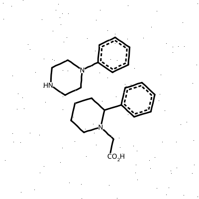 O=C(O)CN1CCCCC1c1ccccc1.c1ccc(N2CCNCC2)cc1